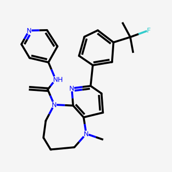 C=C(Nc1ccncc1)N1CCCCN(C)c2ccc(-c3cccc(C(C)(C)F)c3)nc21